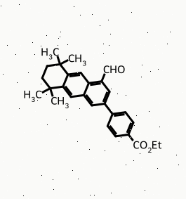 CCOC(=O)c1ccc(-c2cc(C=O)c3cc4c(cc3c2)C(C)(C)CCC4(C)C)cc1